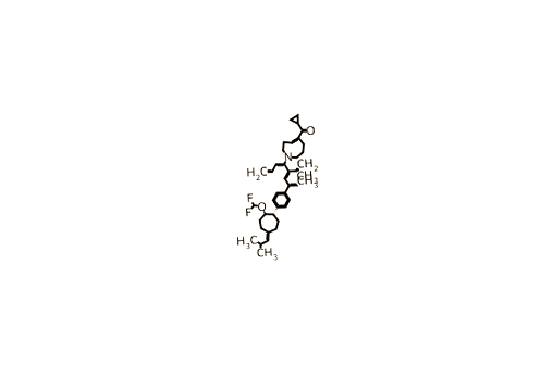 C=C\C=C(/C(=C/C(=C\C)c1ccc([C@@H]2CC/C(=C/C(C)C)CC[C@H]2OC(F)F)cc1)C(=C)C)N1CC/C=C(\C(=O)C2CC2)CCC1